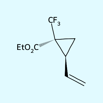 C=C[C@@H]1C[C@]1(C(=O)OCC)C(F)(F)F